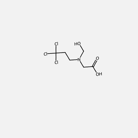 O=C(O)CN(CO)CCC(Cl)(Cl)Cl